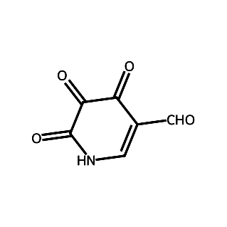 O=CC1=CNC(=O)C(=O)C1=O